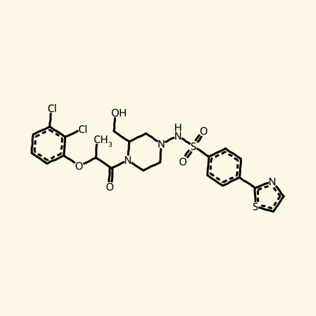 CC(Oc1cccc(Cl)c1Cl)C(=O)N1CCN(NS(=O)(=O)c2ccc(-c3nccs3)cc2)CC1CO